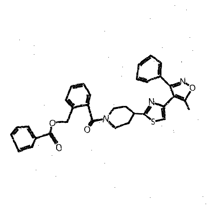 Cc1onc(-c2ccccc2)c1-c1csc(C2CCN(C(=O)c3ccccc3COC(=O)c3ccccc3)CC2)n1